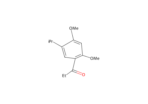 CCC(=O)c1cc(C(C)C)c(OC)cc1OC